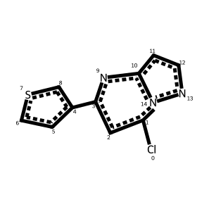 Clc1cc(-c2ccsc2)nc2ccnn12